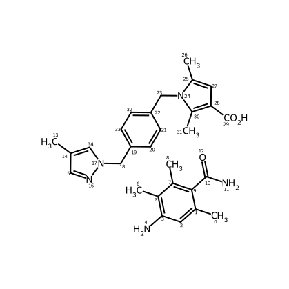 Cc1cc(N)c(C)c(C)c1C(N)=O.Cc1cnn(Cc2ccc(Cn3c(C)cc(C(=O)O)c3C)cc2)c1